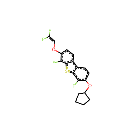 FC(F)=COc1ccc2c(sc3c(F)c(OC4CCCC4)ccc32)c1F